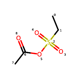 CCS(=O)(=O)OC(C)=O